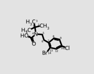 CC(C)(C)N(CCc1ccc(Cl)cc1Br)C(=O)O